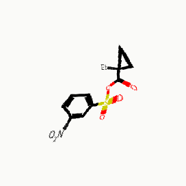 CCC1(C(=O)OS(=O)(=O)c2cccc([N+](=O)[O-])c2)CC1